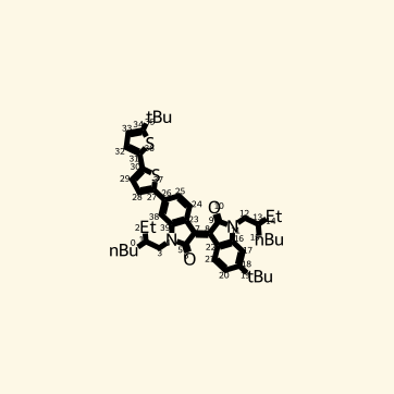 CCCCC(CC)CN1C(=O)/C(=C2/C(=O)N(CC(CC)CCCC)c3cc(C(C)(C)C)ccc32)c2ccc(-c3ccc(-c4ccc(C(C)(C)C)s4)s3)cc21